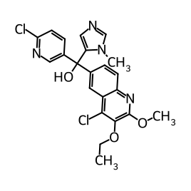 CCOc1c(OC)nc2ccc(C(O)(c3ccc(Cl)nc3)c3cncn3C)cc2c1Cl